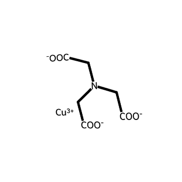 O=C([O-])CN(CC(=O)[O-])CC(=O)[O-].[Cu+3]